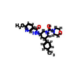 Cc1ccc(C(=O)NC2CC(C3=CCC(C(F)(F)F)C=C3)CN(C(=O)N3CCOCC3)C2)cn1